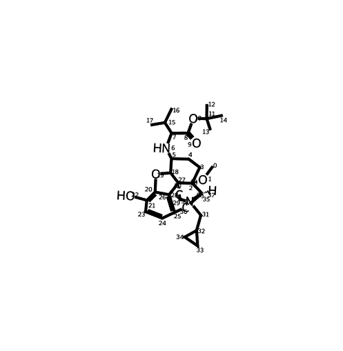 CO[C@@]12CCC(NC(C(=O)OC(C)(C)C)C(C)C)C3Oc4c(O)ccc5c4[C@@]31CCN(CC1CC1)[C@@H]2C5